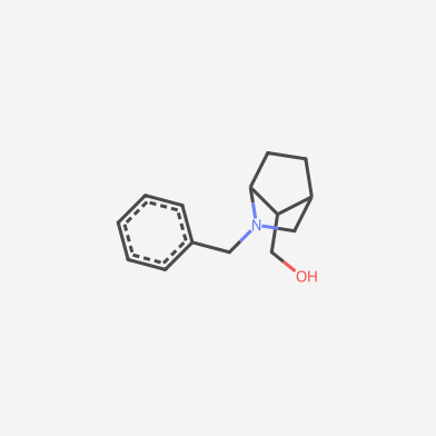 OCC1C2CCC1N(Cc1ccccc1)C2